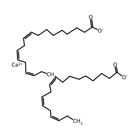 CC/C=C\C/C=C\C/C=C\CCCCCCCC(=O)[O-].CC/C=C\C/C=C\C/C=C\CCCCCCCC(=O)[O-].[Ca+2]